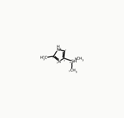 Cc1nc([SiH](C)C)c[nH]1